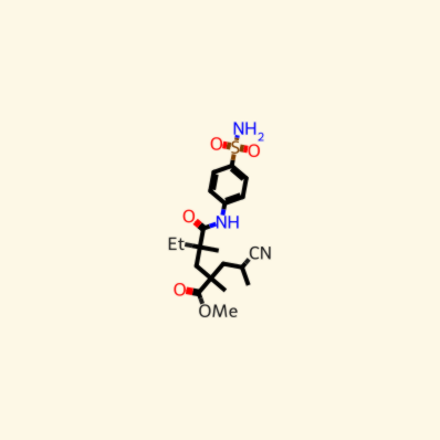 CCC(C)(CC(C)(CC(C)C#N)C(=O)OC)C(=O)Nc1ccc(S(N)(=O)=O)cc1